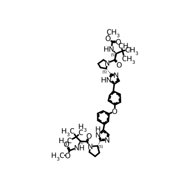 COC(=O)N[C@H](C(=O)N1CCC[C@H]1c1ncc(-c2ccc(Oc3cccc(-c4cnc([C@@H]5CCCN5C(=O)[C@@H](NC(=O)OC)C(C)(C)C)[nH]4)c3)cc2)[nH]1)C(C)(C)C